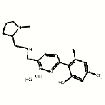 Cc1cc(C(F)(F)F)cc(O)c1-c1ccc(CNCC2CCCN2C)nn1.Cl.Cl